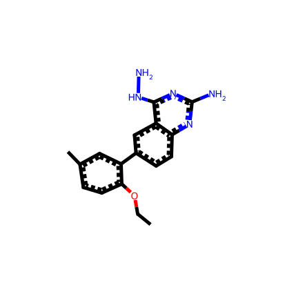 CCOc1ccc(C)cc1-c1ccc2nc(N)nc(NN)c2c1